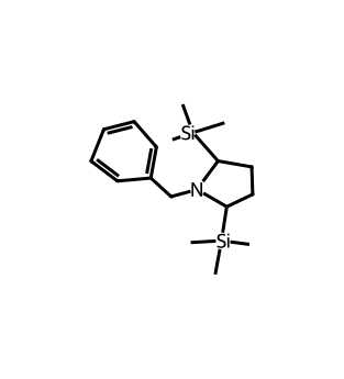 C[Si](C)(C)C1CCC([Si](C)(C)C)N1Cc1ccccc1